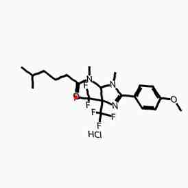 COc1ccc(C2=NC(C(F)(F)F)(C(F)(F)F)C(N(C)C(=O)CCCC(C)C)N2C)cc1.Cl